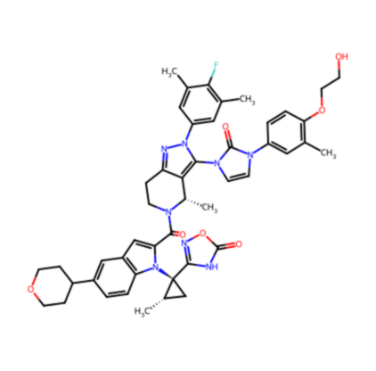 Cc1cc(-n2ccn(-c3c4c(nn3-c3cc(C)c(F)c(C)c3)CCN(C(=O)c3cc5cc(C6CCOCC6)ccc5n3[C@@]3(c5noc(=O)[nH]5)C[C@@H]3C)[C@H]4C)c2=O)ccc1OCCO